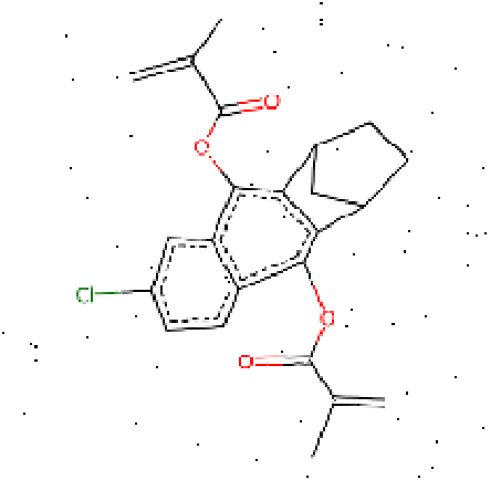 C=C(C)C(=O)Oc1c2c(c(OC(=O)C(=C)C)c3cc(Cl)ccc13)C1CCC2C1